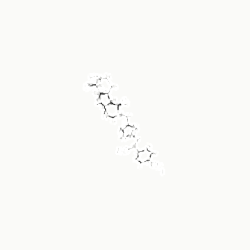 Cc1ccc([C@@H](O)Cn2nnc(Cn3cnc4sc5c(c4c3=O)CCNC5=O)n2)cc1